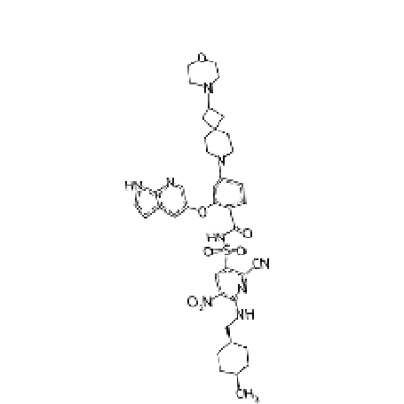 C[C@H]1CC[C@@H](CNc2nc(C#N)c(S(=O)(=O)NC(=O)c3ccc(N4CCC5(CC4)CC(N4CCOCC4)C5)cc3Oc3cnc4[nH]ccc4c3)cc2[N+](=O)[O-])CC1